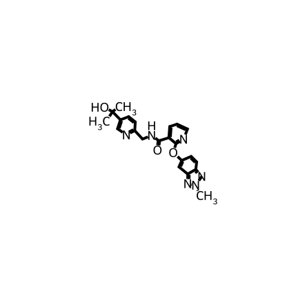 Cn1nc2ccc(Oc3ncccc3C(=O)NCc3ccc(C(C)(C)O)cn3)cc2n1